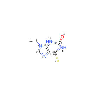 CCn1cnc2c(=S)[nH]c(=O)[nH]c21